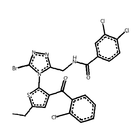 CCc1cc(C(=O)c2ccccc2Cl)c(-n2c(Br)nnc2CNC(=O)c2ccc(Cl)c(Cl)c2)s1